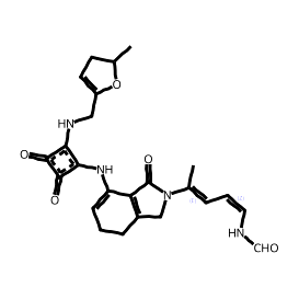 C/C(=C\C=C/NC=O)N1CC2=C(C1=O)C(Nc1c(NCC3=CCC(C)O3)c(=O)c1=O)=CCC2